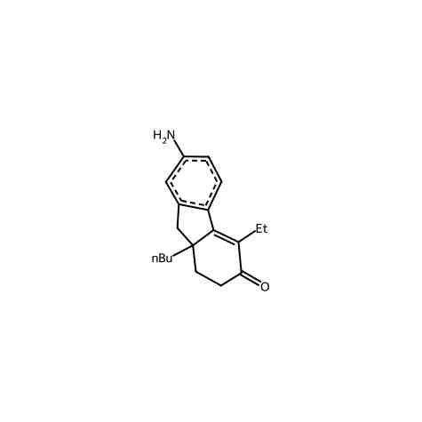 CCCCC12CCC(=O)C(CC)=C1c1ccc(N)cc1C2